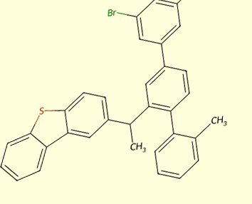 Cc1ccccc1-c1ccc(-c2cc(Br)cc(Br)c2)cc1C(C)c1ccc2sc3ccccc3c2c1